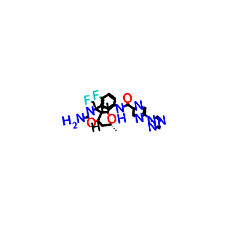 C[C@@H]1C[C@H]2OC(N)=N[C@](CF)(c3cc(NC(=O)c4cnc(-n5cncn5)cn4)ccc3F)[C@H]2CO1